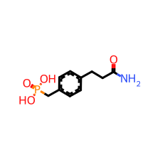 NC(=O)CCc1ccc(CP(=O)(O)O)cc1